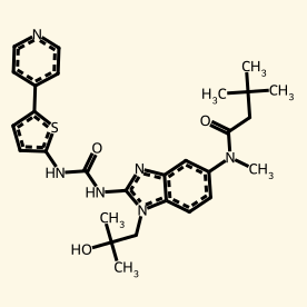 CN(C(=O)CC(C)(C)C)c1ccc2c(c1)nc(NC(=O)Nc1ccc(-c3ccncc3)s1)n2CC(C)(C)O